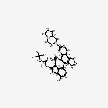 CC(C)(C)OC(=O)Nc1sc2c(F)cnc(-c3c4c(c5cnc(N6CCN7CCCC7C6)nc5c3F)COC4)c2c1C#N